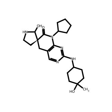 CC1(O)CCC(Nc2ncc3c(n2)N(C2CCCC2)C(=O)[C@]2(CCNC2O)C3)CC1